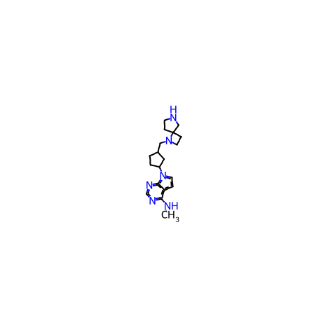 CNc1ncnc2c1ccn2C1CCC(CN2CCC23CCNC3)C1